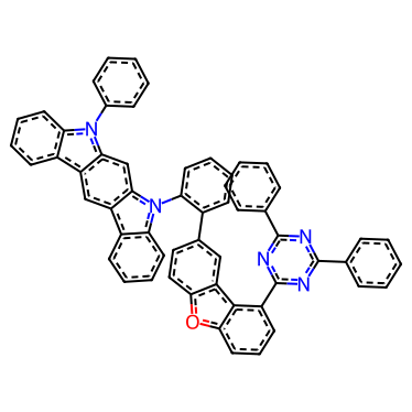 c1ccc(-c2nc(-c3ccccc3)nc(-c3cccc4oc5ccc(-c6ccccc6-n6c7ccccc7c7cc8c9ccccc9n(-c9ccccc9)c8cc76)cc5c34)n2)cc1